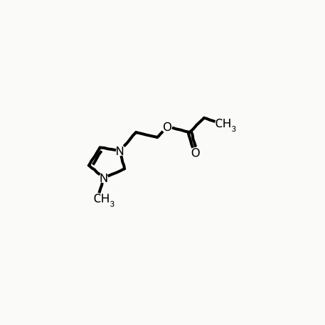 CCC(=O)OCCN1C=CN(C)C1